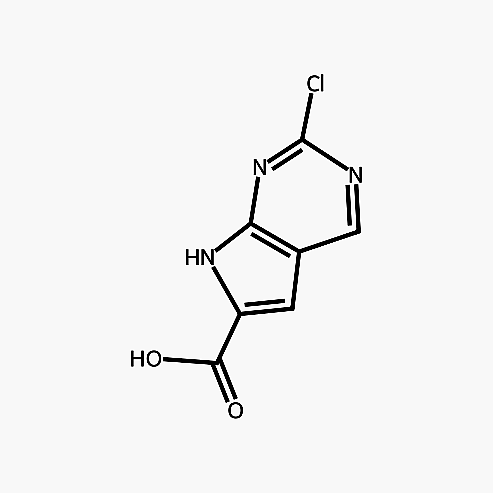 O=C(O)c1cc2cnc(Cl)nc2[nH]1